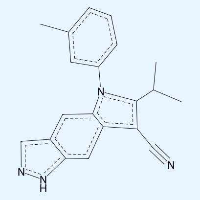 Cc1cccc(-n2c(C(C)C)c(C#N)c3cc4[nH]ncc4cc32)c1